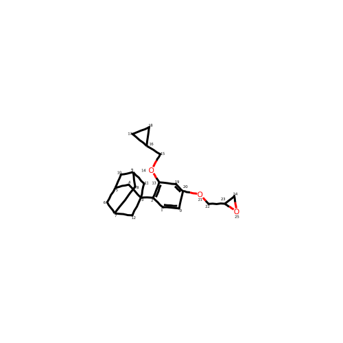 c1cc(C23CC4CC(CC(C4)C2)C3)c(OCC2CC2)cc1OCC1CO1